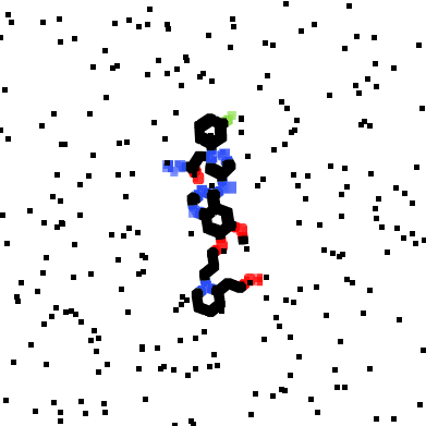 COc1cc2c(NC3=C[N+](CC(N)=O)(c4cccc(F)c4)N=C3)ncnc2cc1OCCCN1CCCCC1CCO